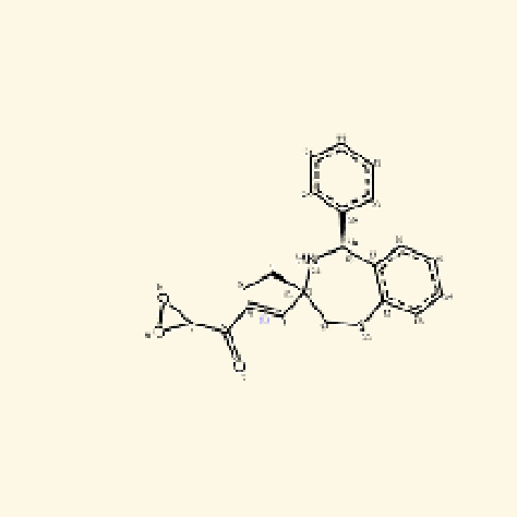 CC[C@]1(/C=C/C(=O)C2OO2)CSc2ccccc2[C@H](c2ccccc2)N1